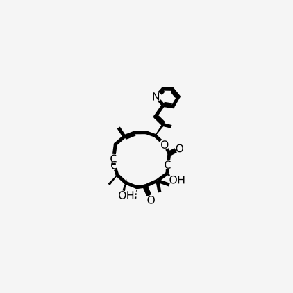 CC(=Cc1ccccn1)[C@@H]1C/C=C(/C)CCC[C@H](C)[C@H](O)[C@@H](C)C(=O)C(C)(C)[C@@H](O)CC(=O)O1